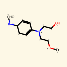 CCOCCN(CCO)C1=CCC(NC=O)C=C1